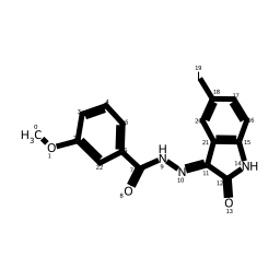 COc1cccc(C(=O)N/N=C2/C(=O)Nc3ccc(I)cc32)c1